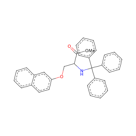 COC(=O)C(COc1ccc2ccccc2c1)NC(c1ccccc1)(c1ccccc1)c1ccccc1